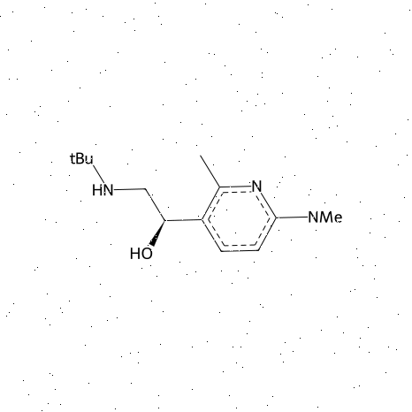 CNc1ccc([C@@H](O)CNC(C)(C)C)c(C)n1